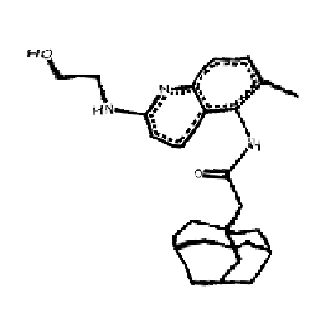 Cc1ccc2nc(NCCO)ccc2c1NC(=O)CC12CC3CC(CC(C3)C1)C2